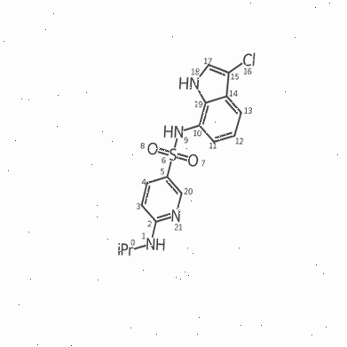 CC(C)Nc1ccc(S(=O)(=O)Nc2cccc3c(Cl)c[nH]c23)cn1